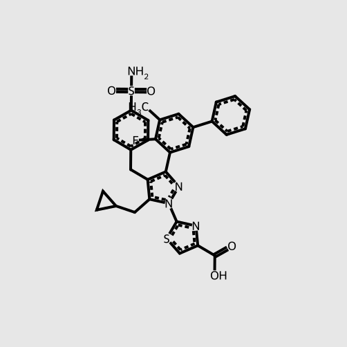 Cc1cc(-c2ccccc2)cc(-c2nn(-c3nc(C(=O)O)cs3)c(CC3CC3)c2Cc2ccc(S(N)(=O)=O)cc2)c1F